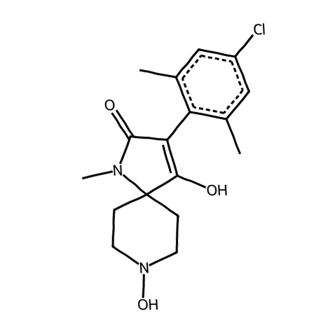 Cc1cc(Cl)cc(C)c1C1=C(O)C2(CCN(O)CC2)N(C)C1=O